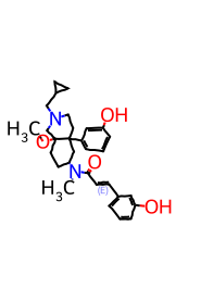 COC12CCC(N(C)C(=O)/C=C/c3cccc(O)c3)CC1(c1cccc(O)c1)CCN(CC1CC1)C2